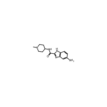 CN1CCC(NC(=O)c2nc3cc(N)ccc3[nH]2)CC1